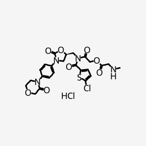 CNCC(=O)OCC(=O)N(C[C@H]1CN(c2ccc(N3CCOCC3=O)cc2)C(=O)O1)C(=O)c1ccc(Cl)s1.Cl